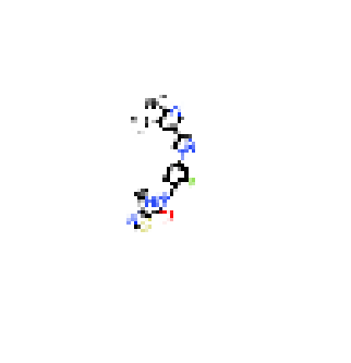 N#Cc1ncc(-c2cnn(-c3ccc(CNC(=O)c4scnc4C4CC4)c(F)c3)c2)cc1C(F)(F)F